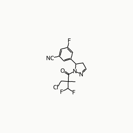 CC(CCl)(C(=O)N1N=CCC1c1cc(F)cc(C#N)c1)C(F)F